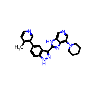 Cc1ccncc1-c1ccc2[nH]nc(-c3nc4c(N5CCCCC5)cncc4[nH]3)c2c1